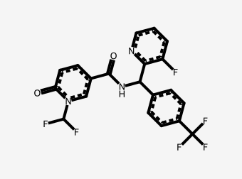 O=C(NC(c1ccc(C(F)(F)F)cc1)c1ncccc1F)c1ccc(=O)n(C(F)F)c1